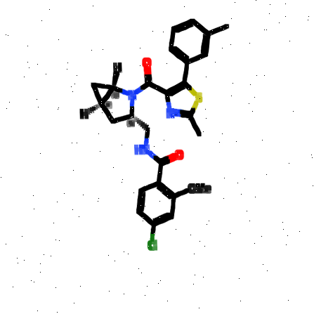 COc1cc(Cl)ccc1C(=O)NC[C@@H]1C[C@H]2C[C@@H]2N1C(=O)c1nc(C)sc1-c1cccc(C)c1